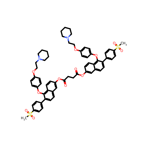 CS(=O)(=O)c1ccc(-c2ccc3cc(OC(=O)CCC(=O)Oc4ccc5c(Oc6ccc(OCCN7CCCCC7)cc6)c(-c6ccc(S(C)(=O)=O)cc6)ccc5c4)ccc3c2Oc2ccc(OCCN3CCCCC3)cc2)cc1